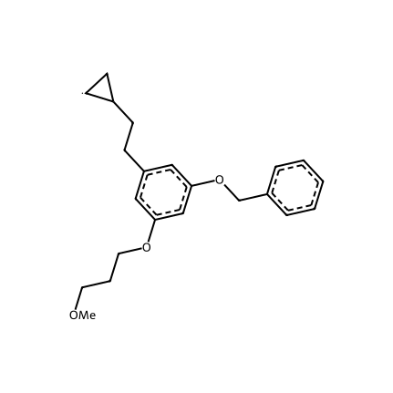 COCCCOc1cc(CCC2[CH]C2)cc(OCc2ccccc2)c1